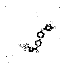 CS(=O)(=O)c1ccc(C(=O)N2CCC(N3CCC(Oc4ccc(Cl)c(Cl)c4)CC3)CC2)s1